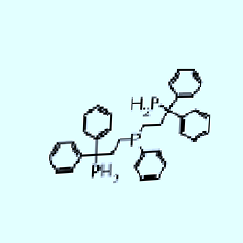 PC(CCP(CCC(P)(c1ccccc1)c1ccccc1)c1ccccc1)(c1ccccc1)c1ccccc1